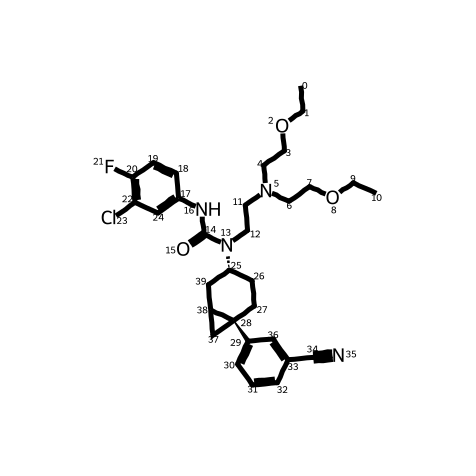 CCOCCN(CCOCC)CCN(C(=O)Nc1ccc(F)c(Cl)c1)[C@@H]1CC[C@]2(c3cccc(C#N)c3)CC2C1